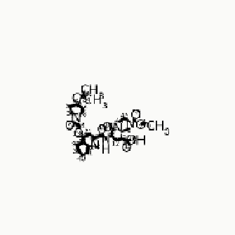 CCOC(=O)N1CCN(C(=O)C(CCC(=O)O)NC(=O)c2cc(OCC(=O)N3CCC(OC(C)C)CC3)c3ccccc3n2)CC1